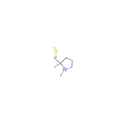 CN1CCCC1(C)C=S